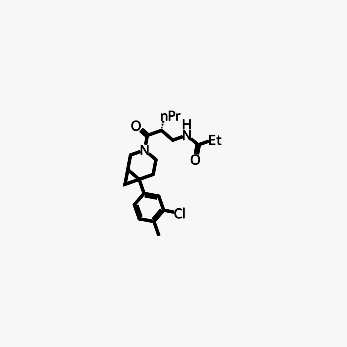 CCC[C@H](CNC(=O)CC)C(=O)N1CCC2(c3ccc(C)c(Cl)c3)CC2C1